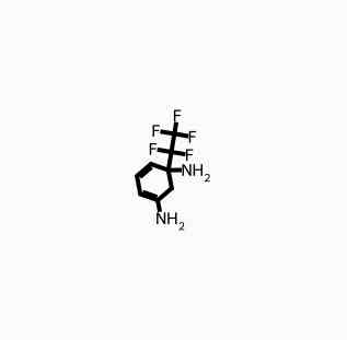 NC1=CC=CC(N)(C(F)(F)C(F)(F)F)C1